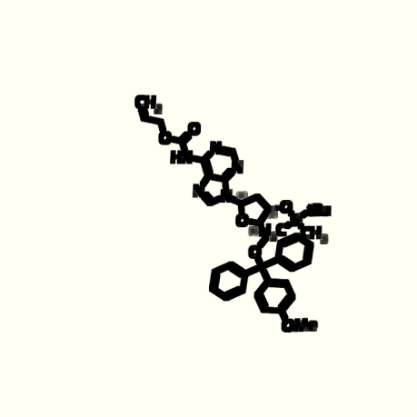 C=CCOC(=O)Nc1ncnc2c1ncn2[C@H]1C[C@H](O[Si](C)(C)C(C)(C)C)[C@@H](COC(c2ccccc2)(c2ccccc2)c2ccc(OC)cc2)O1